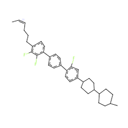 C/C=C\CCCc1ccc(-c2ccc(-c3ccc(C4CCC(C5CCC(C)CC5)CC4)cc3F)cc2)c(F)c1F